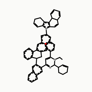 CCN1C(c2ccccc2)=CC(c2cc3ccccc3cc2C2Cc3cc4ccc(-n5c6c(c7c5C=CC5C=CC=CC75)CCC=C6)cc4cc3-c3ccccc32)=NC1C1C=CCCC1